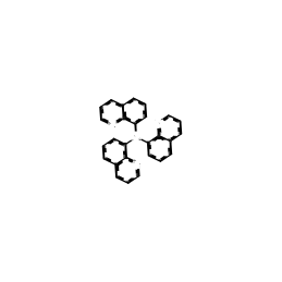 c1cnc2c(N(c3cccc4cccnc34)c3cccc4cccnc34)cccc2c1